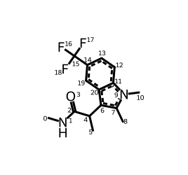 CNC(=O)C(C)c1c(C)n(C)c2ccc(C(F)(F)F)cc12